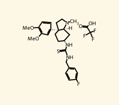 COc1ccc([C@@]23CC[C@@H](NC(=S)NCc4ccc(F)cc4)C[C@@H]2N(C)CC3)cc1OC.O=C(O)C(F)(F)F